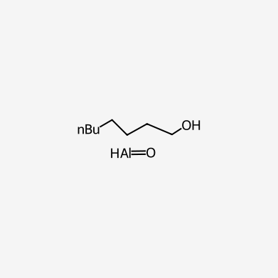 CCCCCCCCO.[O]=[AlH]